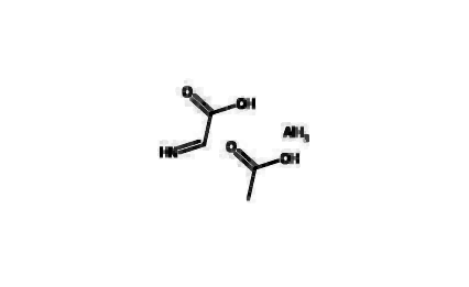 CC(=O)O.N=CC(=O)O.[AlH3]